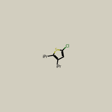 CC(C)c1cc(Cl)sc1C(C)C